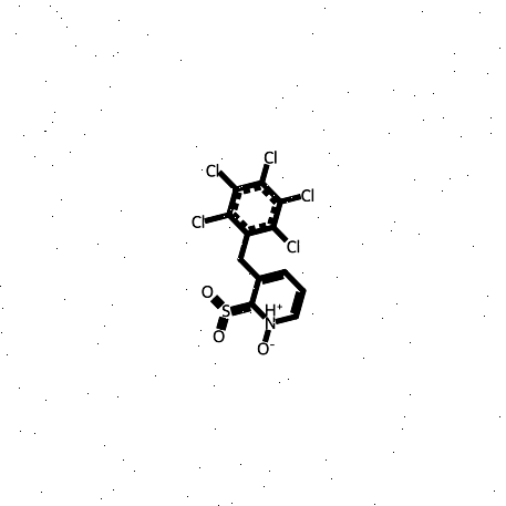 O=S(=O)=C1C(Cc2c(Cl)c(Cl)c(Cl)c(Cl)c2Cl)=CC=C[NH+]1[O-]